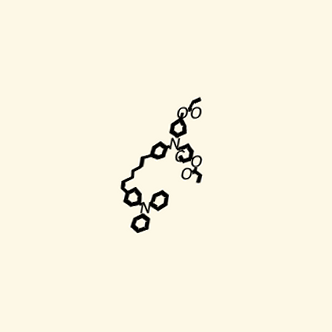 C=CC(=O)Oc1ccc(N(c2ccc(/C=C/CC/C=C\c3ccc(N(c4ccccc4)c4ccccc4)cc3)cc2)c2ccc(OC(=O)C=C)cc2)cc1